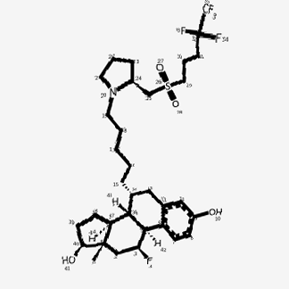 C[C@]12C[C@H](F)[C@@H]3c4ccc(O)cc4C[C@@H](CCCCCN4CCC[C@H]4CS(=O)(=O)CCCC(F)(F)C(F)(F)F)[C@H]3[C@@H]1CC[C@@H]2O